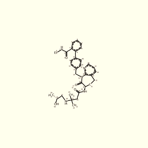 CCNC(=O)c1ccccc1-c1ccc(CN2C(=O)[C@H](NC(=O)CC(C)(C)NC[C@@H](C)O)CCc3cccnc32)cc1